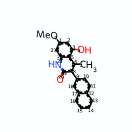 COc1cc(O)c2c(C)c(-c3ccc4ccccc4c3)c(=O)[nH]c2c1